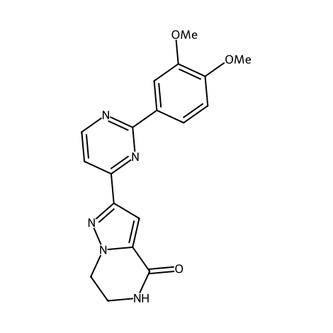 COc1ccc(-c2nccc(-c3cc4n(n3)CCNC4=O)n2)cc1OC